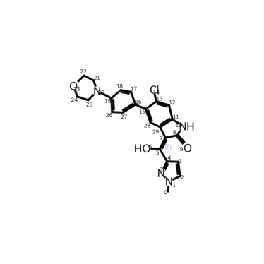 Cn1ccc(/C(O)=C2\C(=O)Nc3cc(Cl)c(-c4ccc(N5CCOCC5)cc4)cc32)n1